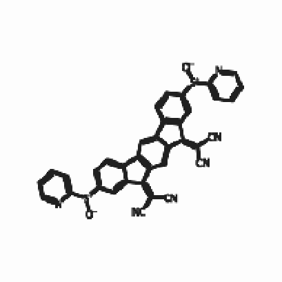 N#CC(C#N)=C1c2cc([S+]([O-])c3ccccn3)ccc2-c2cc3c(cc21)C(=C(C#N)C#N)c1cc([S+]([O-])c2ccccn2)ccc1-3